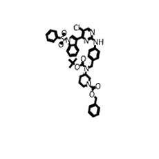 CC(C)(C)OC(=O)N(Cc1ccc(Nc2ncc(Cl)c(-c3cn(S(=O)(=O)c4ccccc4)c4ccccc34)n2)cc1)[C@@H]1CCCN(C(=O)OCc2ccccc2)C1